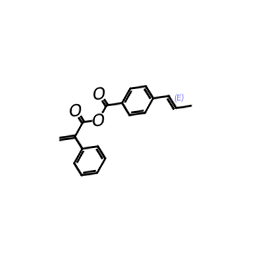 C=C(C(=O)OC(=O)c1ccc(/C=C/C)cc1)c1ccccc1